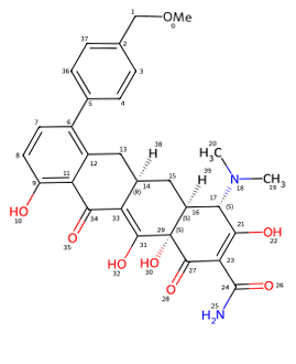 COCc1ccc(-c2ccc(O)c3c2C[C@H]2C[C@H]4[C@H](N(C)C)C(O)=C(C(N)=O)C(=O)[C@@]4(O)C(O)=C2C3=O)cc1